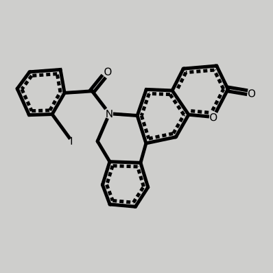 O=C(c1ccccc1I)N1Cc2ccccc2-c2cc3oc(=O)ccc3cc21